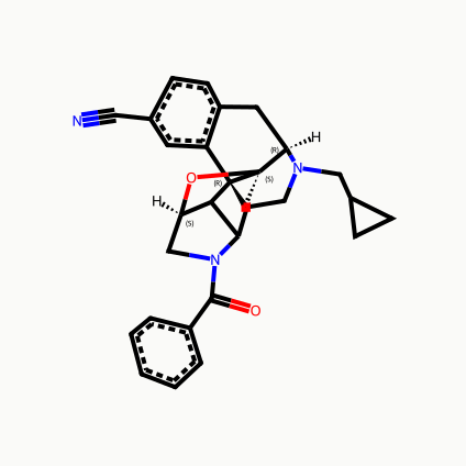 N#Cc1ccc2c(c1)[C@]13CCN(CC4CC4)[C@H](C2)[C@]12CCC1C3[C@@H](CN1C(=O)c1ccccc1)O2